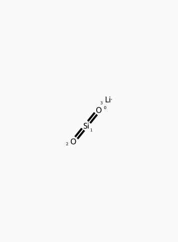 O=[Si]=O.[Li]